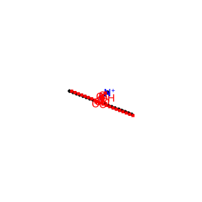 CC/C=C/C=C/C=C/C=C/CCCCCCCC(=O)O[C@H](COC(=O)CCCCCCCCCCCCCCCCC)COP(=O)(O)OCC[N+](C)(C)C